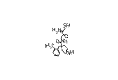 Cc1ccccc1CC1(C(=O)NCC(=O)[C@@H](N)CS)CCNCC1